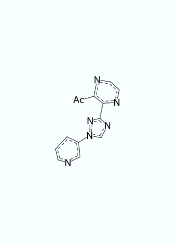 CC(=O)c1nccnc1-c1ncn(-c2cccnc2)n1